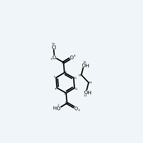 O=C(O)c1ccc(C(=O)OCl)cc1.OCCO